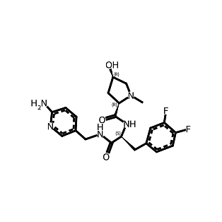 CN1C[C@H](O)C[C@@H]1C(=O)N[C@@H](Cc1ccc(F)c(F)c1)C(=O)NCc1ccc(N)nc1